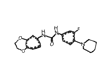 O=C(Nc1ccc(N2CCCCC2)c(F)c1)Nc1ccc2c(c1)OCCO2